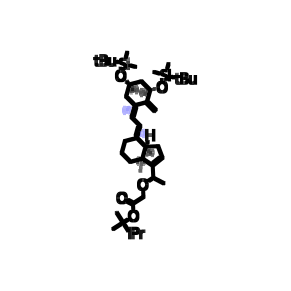 C=C1/C(=C\C=C2/CCC[C@]3(C)C(C(C)OCC(=O)OC(C)(C)C(C)C)=CC[C@@H]23)C[C@@H](O[Si](C)(C)C(C)(C)C)C[C@@H]1O[Si](C)(C)C(C)(C)C